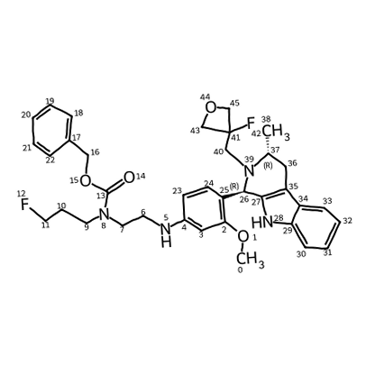 COc1cc(NCCN(CCCF)C(=O)OCc2ccccc2)ccc1[C@@H]1c2[nH]c3ccccc3c2C[C@@H](C)N1CC1(F)COC1